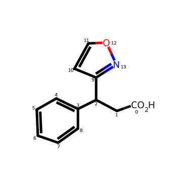 O=C(O)CC(c1ccccc1)c1ccon1